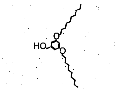 CCCCCCCCCCOc1cc(CO)cc(OCCCCCCCCCC)c1